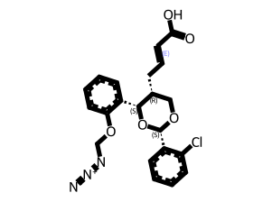 [N-]=[N+]=NCOc1ccccc1[C@H]1O[C@@H](c2ccccc2Cl)OC[C@H]1C/C=C/C(=O)O